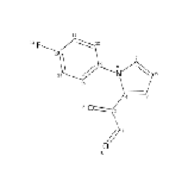 O=CC(=O)c1cccn1-c1ccc(F)cc1